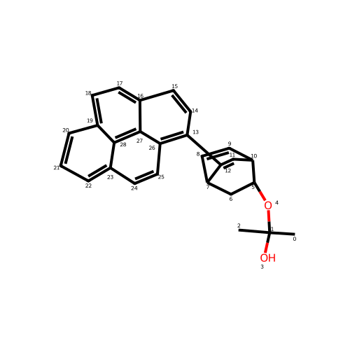 CC(C)(O)OC1CC2C=CC1C=C2c1ccc2ccc3cccc4ccc1c2c34